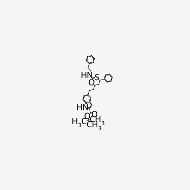 CC(C)(C)OC(=O)c1cc2cc(CCC(CCc3ccccc3)OC(=S)NCCc3ccccc3)ccc2[nH]1